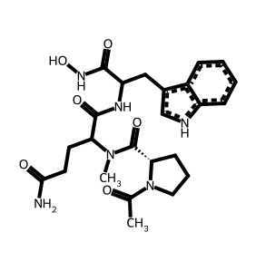 CC(=O)N1CCC[C@H]1C(=O)N(C)C(CCC(N)=O)C(=O)NC(Cc1c[nH]c2ccccc12)C(=O)NO